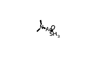 CC(=O)N(C)C.O=[SH2]